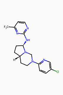 FC(F)(F)c1ccnc(N[C@@H]2CC[C@H]3CCN(c4ccc(Cl)cn4)CN32)n1